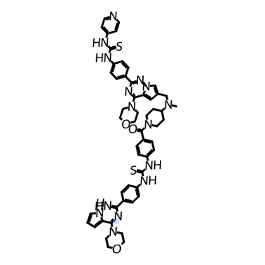 CN(Cc1cc2c(N3CCOCC3)nc(-c3ccc(NC(=S)Nc4ccncc4)cc3)nn2c1)C1CCN(C(=O)c2ccc(NC(=S)Nc3ccc(C(=N)/N=C(\c4ccc[nH]4)N4CCOCC4)cc3)cc2)CC1